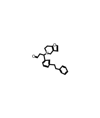 O=CCC(c1cccc(CCc2ccccc2)c1)N1CCc2occc2C1